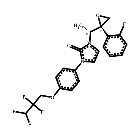 C[C@@H](n1ccn(-c2ccc(OCC(F)(F)C(F)F)cc2)c1=O)[C@@]1(c2ccccc2F)CO1